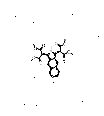 COC(=O)C(C(=O)OC)=c1[nH]c(=C(C(=O)OC)C(=O)OC)c2cc3ccccc3cc12